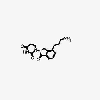 NCCCc1cccc2c1CN(N1CCC(=O)NC1=O)C2=O